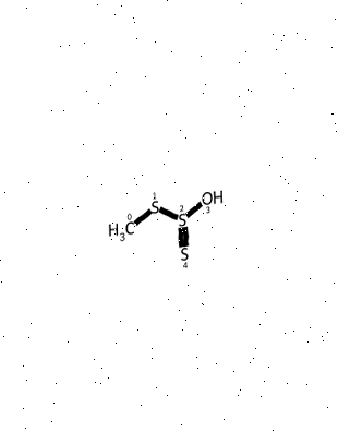 CSS(O)=S